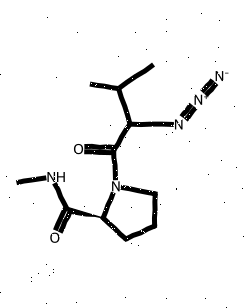 CNC(=O)[C@@H]1CCCN1C(=O)C(N=[N+]=[N-])C(C)C